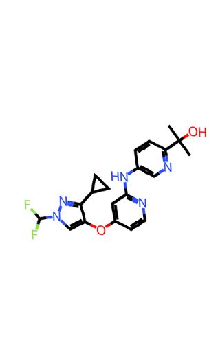 CC(C)(O)c1ccc(Nc2cc(Oc3cn(C(F)F)nc3C3CC3)ccn2)cn1